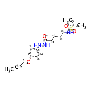 CCCCOc1ccc(NNC(=O)CCCCNS(=O)(=O)C(C)C)cc1